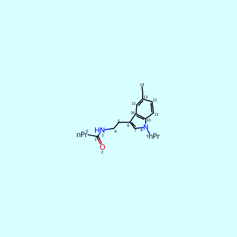 CCCC(=O)NCCc1cn(CCC)c2ccc(C)cc12